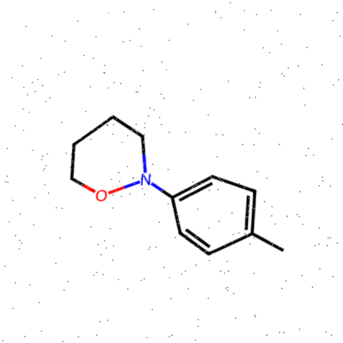 Cc1ccc(N2CCCCO2)cc1